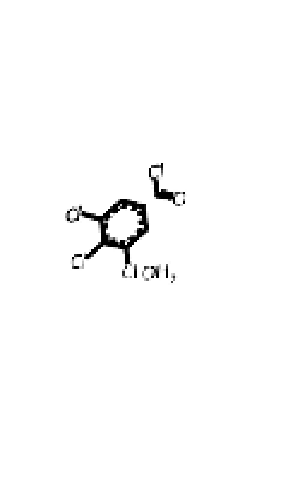 Clc1cccc(Cl)c1Cl.O.O=CCl